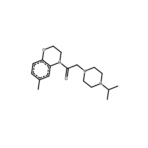 Cc1ccc2c(c1)N(C(=O)CN1CCN(C(C)C)CC1)CCO2